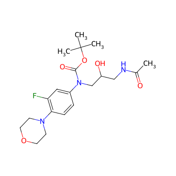 CC(=O)NCC(O)CN(C(=O)OC(C)(C)C)c1ccc(N2CCOCC2)c(F)c1